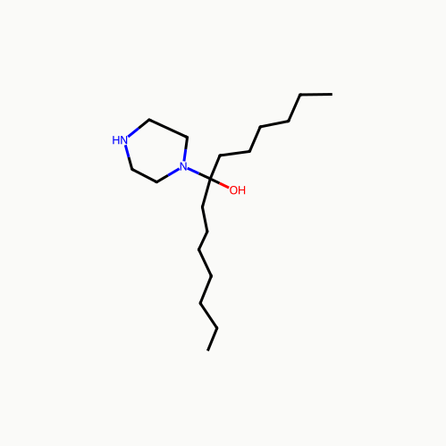 CCCCCCCC(O)(CCCCCC)N1CCNCC1